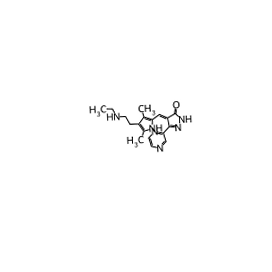 CCNCCc1c(C)[nH]c(/C=C2/C(=O)NN=C2c2cnccn2)c1C